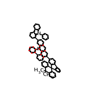 CC1(C)c2ccccc2C2(c3ccccc3-c3ccc(-c4ccc(N(c5cccc(-c6cccc7c8ccccc8n(-c8ccccc8)c67)c5)c5ccccc5-c5ccccc5-c5ccccc5-c5ccccc5)cc4)cc32)c2ccccc21